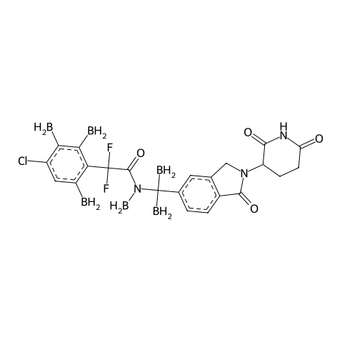 Bc1cc(Cl)c(B)c(B)c1C(F)(F)C(=O)N(B)C(B)(B)c1ccc2c(c1)CN(C1CCC(=O)NC1=O)C2=O